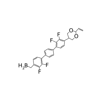 BCc1ccc(-c2ccc(-c3ccc(C4COC(C=C)OC4)c(F)c3F)cc2)c(F)c1F